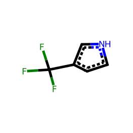 FC(F)(F)c1[c]c[nH]c1